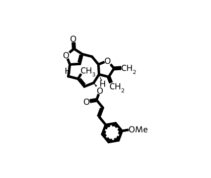 C=C1OC2CC3=C[C@@H](C/C(C)=C/[C@@H](OC(=O)/C=C/c4cccc(OC)c4)[C@@H]2C1=C)OC3=O